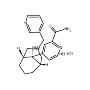 CO[C@@]1(c2ccnc(C(N)=O)c2)[C@@H]2CCC[C@H]1CN(Cc1cccnc1)C2.Cl.Cl